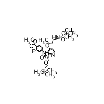 COC(=O)c1ccc(-n2c(=O)n(COCC[Si](C)(C)C)c3nccc(OC(C)CCCNC(=O)OC(C)(C)C)c32)cc1F